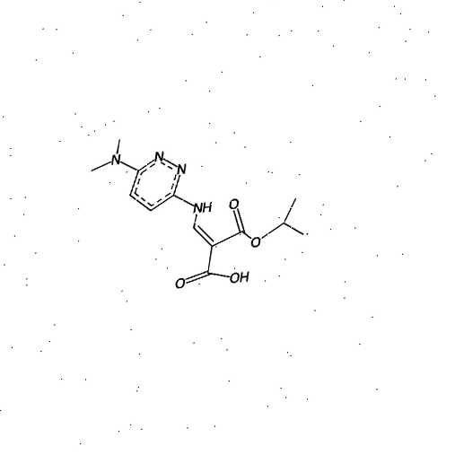 [CH2]C(C)OC(=O)C(=CNc1ccc(N(C)C)nn1)C(=O)O